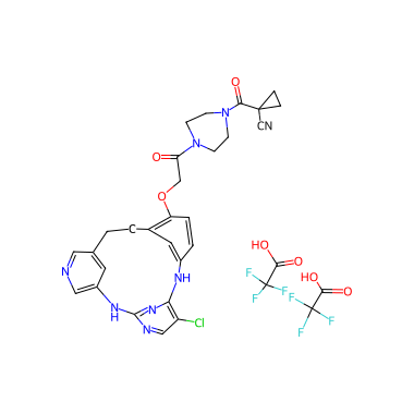 N#CC1(C(=O)N2CCN(C(=O)COc3ccc4cc3CCc3cncc(c3)Nc3ncc(Cl)c(n3)N4)CC2)CC1.O=C(O)C(F)(F)F.O=C(O)C(F)(F)F